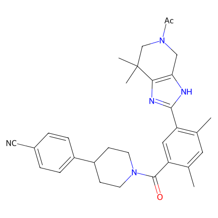 CC(=O)N1Cc2[nH]c(-c3cc(C(=O)N4CCC(c5ccc(C#N)cc5)CC4)c(C)cc3C)nc2C(C)(C)C1